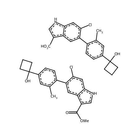 COC(=O)c1c[nH]c2cc(Cl)c(-c3ccc(C4(O)CCC4)cc3C)cc12.Cc1cc(C2(O)CCC2)ccc1-c1cc2c(C(=O)O)c[nH]c2cc1Cl